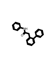 O=C(Cc1ccccc1-c1ccccc1)Nc1ccccc1